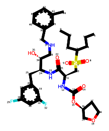 CCCC(CCC)S(=O)(=O)C[C@@H](NC(=O)O[C@H]1CCOC1)C(=O)N[C@@H](Cc1cc(F)cc(F)c1)[C@H](O)CNCc1cccc(C)c1